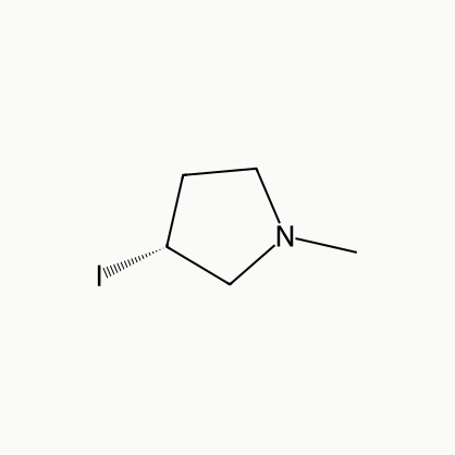 CN1CC[C@@H](I)C1